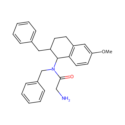 COc1ccc2c(c1)CCC(Cc1ccccc1)C2N(Cc1ccccc1)C(=O)CN